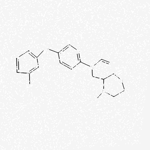 Cc1cccc(Oc2ccc(N(C=O)CC3CNCCN3C)nc2)c1